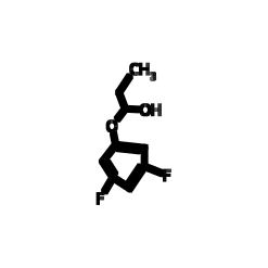 CCC(O)Oc1cc(F)cc(F)c1